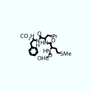 CSCCC(NOC=O)C(=O)NC(CC(C)C)C(=O)NC(Cc1ccccc1)C(=O)O